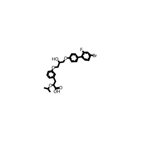 CC(C)OC(Cc1cccc(OCC(O)COc2ccc(-c3ccc(Br)cc3F)cc2)c1)C(=O)O